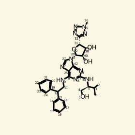 CC(C)[C@@H](CO)Nc1nc(NCC(c2ccccc2)c2ccccc2)c2ncn([C@@H]3O[C@H](c4nnn(C)n4)[C@@H](O)[C@H]3O)c2n1